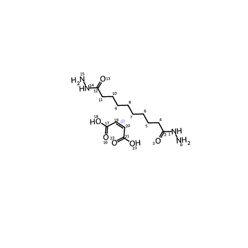 NNC(=O)CCCCCCCCC(=O)NN.O=C(O)/C=C\C(=O)O